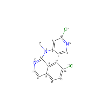 CN(c1ccnc(Cl)c1)c1nccc2ccc(Cl)cc12